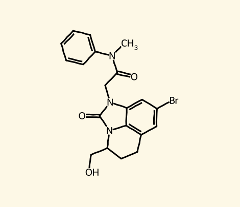 CN(C(=O)Cn1c(=O)n2c3c(cc(Br)cc31)CCC2CO)c1ccccc1